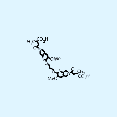 COc1cc2c(nc1OCCCOc1nc3c(cc1OC)CN(C(=O)CC(C)C(=O)O)C3)CN(C(=O)CC(C)C(=O)O)C2